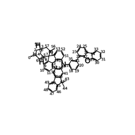 C[C@H]1C[C@@H]2C[C@H](C1)C1(c3ccccc3-c3c(N(c4cccc(-c5cccc6c5oc5ccccc56)c4)c4ccc5c(c4)C(C)(C)c4ccccc4-5)cccc31)[C@H](C)C2